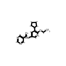 O=C(Nc1cnc(OCC(F)(F)F)c(C2CCCC2)c1)c1cncnc1